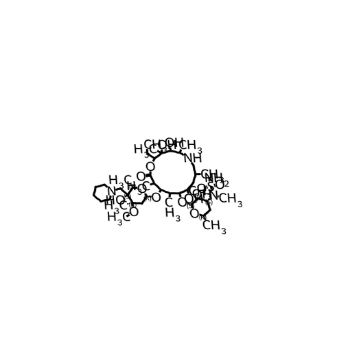 CCC1OC(=O)C(C)C(O[C@H]2C[C@@](C)(OC)[C@](O)(CN3CCCCC3)[C@H](C)O2)C(C)C(O[C@@H]2O[C@H](C)C[C@H](N(C)S(N)(=O)=O)[C@H]2O)C(C)(O)CC(C)CNC(C)C(O)C1(C)O